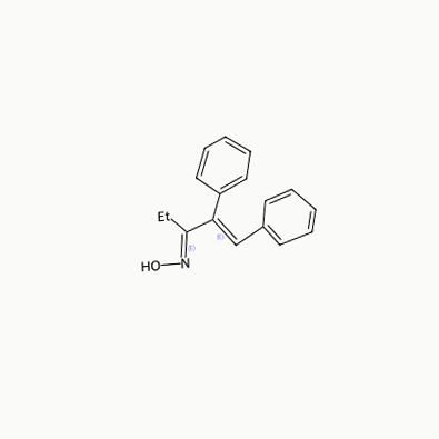 CCC(=N\O)/C(=C/c1ccccc1)c1ccccc1